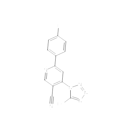 Cc1nnnn1-c1cc(-c2ccc(F)cc2)ncc1C#N